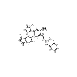 Cc1n[nH]c2cnc(-c3cc(OC[C@@H](N)Cc4ccccc4)c(N)nc3C3C=COC3C)cc12